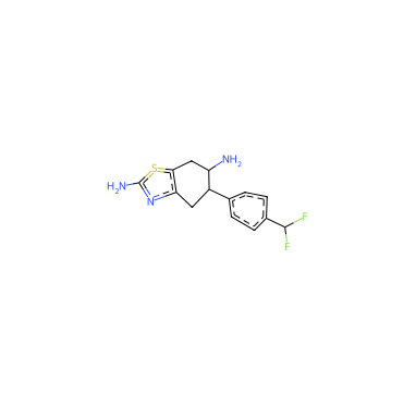 Nc1nc2c(s1)CC(N)C(c1ccc(C(F)F)cc1)C2